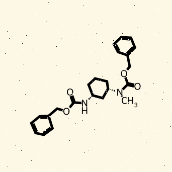 CN(C(=O)OCc1ccccc1)[C@H]1CCC[C@@H](NC(=O)OCc2ccccc2)C1